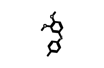 COc1ccc(Sc2ccc(C)cc2)cc1OC